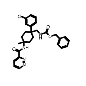 CC1(NC(=O)c2cccnn2)CCC(CNC(=O)OCc2ccccc2)(c2cccc(Cl)c2)CC1